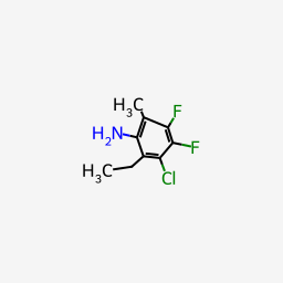 CCc1c(N)c(C)c(F)c(F)c1Cl